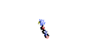 NC(=S)N/N=C/c1ccc(-c2ccc(N3CCOCC3)nc2)o1